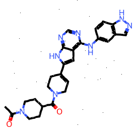 CC(=O)N1CCC(C(=O)N2CC=C(c3cc4c(Nc5ccc6[nH]ncc6c5)ncnc4[nH]3)CC2)CC1